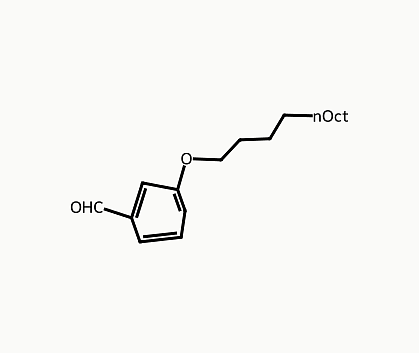 CCCCCCCCCCCCOc1cccc(C=O)c1